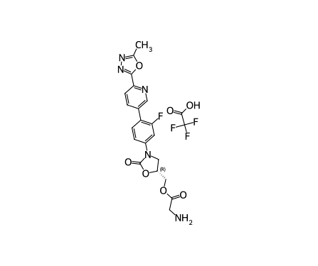 Cc1nnc(-c2ccc(-c3ccc(N4C[C@H](COC(=O)CN)OC4=O)cc3F)cn2)o1.O=C(O)C(F)(F)F